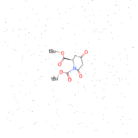 CC(C)(C)OC(=O)[C@H]1CC(=O)CC(=O)N1C(=O)OC(C)(C)C